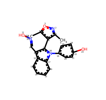 Cc1noc(C)c1-c1c(C=NO)c2ccccc2n1-c1ccc(O)cc1